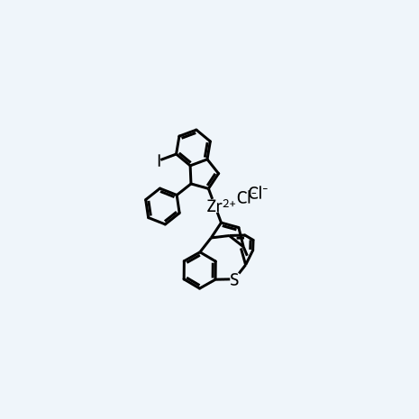 Ic1cccc2c1C(c1ccccc1)[C]([Zr+2][C]1=Cc3c4cccc3C1c1cccc(c1)S4)=C2.[Cl-].[Cl-]